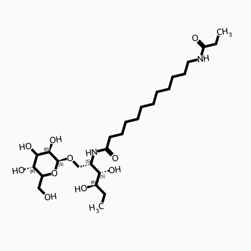 CCC(=O)NCCCCCCCCCCCC(=O)N[C@@H](CO[C@H]1OC(CO)[C@H](O)C(O)[C@H]1O)[C@H](O)[C@H](O)CC